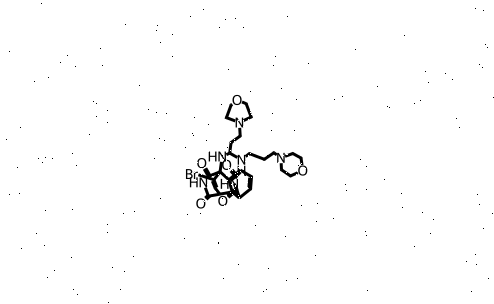 O=C1NC(=O)C2(NC(CCN3CCOCC3)NCCCN3CCOCC3)C(Br)=CC1c1c2c2ccc1c(=O)[nH]c2=O